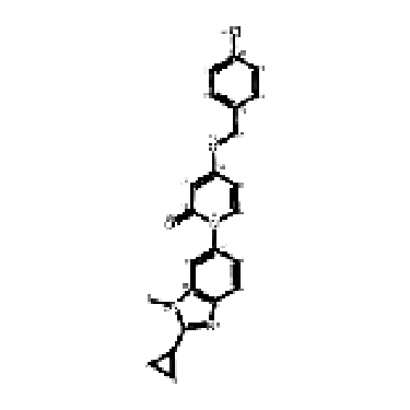 Cn1c(C2CC2)nc2ccc(-n3ccc(OCc4ccc(Cl)cc4)cc3=O)cc21